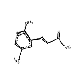 Cc1cnc(N)c(C=CC(=O)O)c1